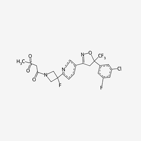 CS(=O)(=O)CC(=O)N1CC(F)(c2ccc(C3=NOC(c4cc(F)cc(Cl)c4)(C(F)(F)F)C3)cn2)C1